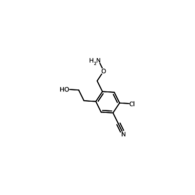 N#Cc1cc(CCO)c(CON)cc1Cl